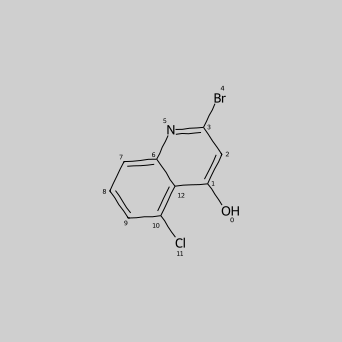 Oc1cc(Br)nc2cccc(Cl)c12